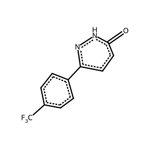 O=c1ccc(-c2ccc(C(F)(F)F)cc2)n[nH]1